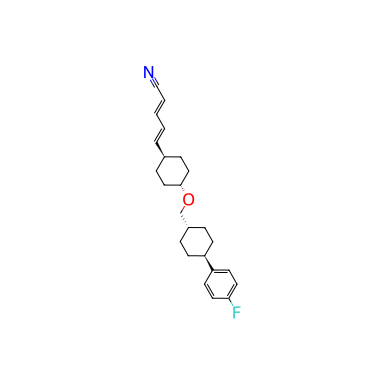 N#CC=CC=C[C@H]1CC[C@H](OC[C@H]2CC[C@H](c3ccc(F)cc3)CC2)CC1